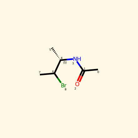 CC(=O)N[C@@H](C)C(C)Br